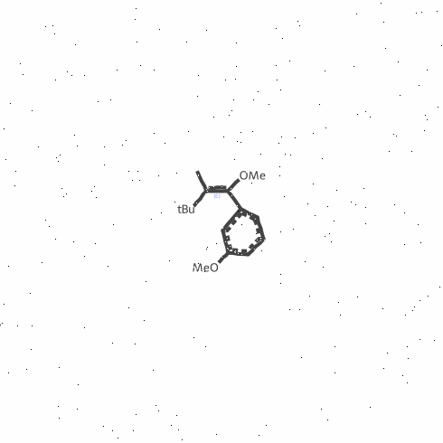 CO/C(=C(\C)C(C)(C)C)c1cccc(OC)c1